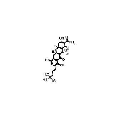 Cc1c(CCCC(C)(C)C(C)(C)C)cc(C(C)C)c2c1C(=O)C1=C(O)[C@]3(O)C(=O)C(C(N)=O)=C(O)C[C@@H]3C[C@@H]1C2